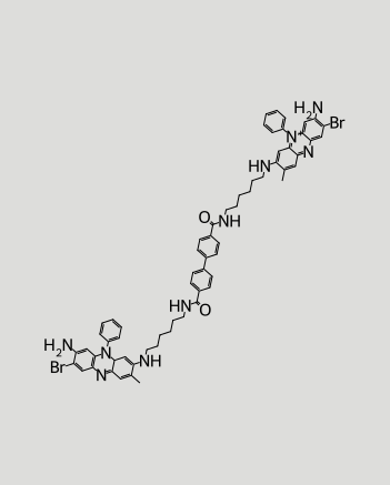 CC1=CC2=Nc3cc(Br)c(N)cc3N(c3ccccc3)C2C=C1NCCCCCCNC(=O)c1ccc(-c2ccc(C(=O)NCCCCCCNc3cc4c(cc3C)nc3cc(Br)c(N)cc3[n+]4-c3ccccc3)cc2)cc1